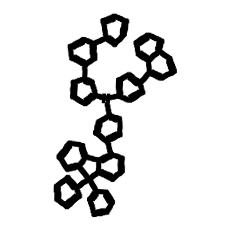 c1ccc(-c2cccc(-c3cccc(N(c4ccc(-c5cccc6c5-c5ccccc5C6(c5ccccc5)c5ccccc5)cc4)c4ccc(-c5cccc6ccccc56)cc4)c3)c2)cc1